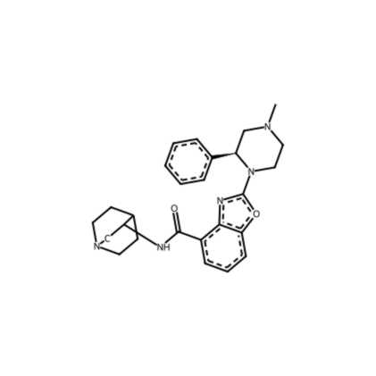 CN1CCN(c2nc3c(C(=O)NC4CN5CCC4CC5)cccc3o2)[C@@H](c2ccccc2)C1